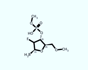 B[C@@H]1O[C@H](COC)[C@@H](OP(=O)(O)OC)C1F